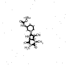 Cn1c(=O)c2[nH]c(N3CCCC(NC(=O)OC(C)(C)C)C3)c(C#N)c2n(C)c1=O